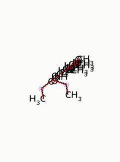 CCCCCCCC/C=C\CCCCCCCCOCC(COC(=O)NCCOCCOCCOC(=O)CN(CCOC(=O)CN(CCOC)C(=O)OC(C)(C)C)C(=O)OC(C)(C)C)OCCCCCCCC/C=C\CCCCCCCC